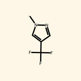 [CH2]n1cc(C(F)(F)F)cn1